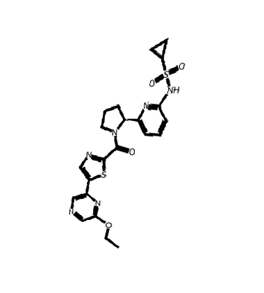 CCOc1cncc(-c2cnc(C(=O)N3CCC[C@H]3c3cccc(NS(=O)(=O)C4CC4)n3)s2)n1